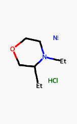 CCC1COCCN1CC.Cl.[N]